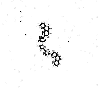 c1cnc2c(c1)ccc1ccc(-c3nnc(-c4ccc(-c5nnc(-c6ccc7ccc8cccnc8c7n6)o5)s4)o3)nc12